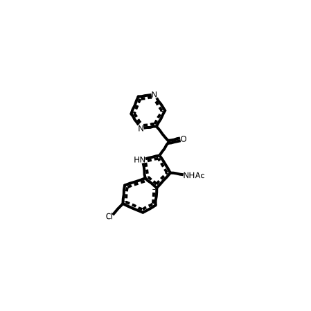 CC(=O)Nc1c(C(=O)c2cnccn2)[nH]c2cc(Cl)ccc12